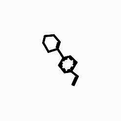 C=Cc1ccc(C2=CCCCC2)cc1